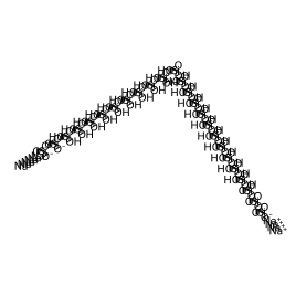 O=[Si](O)O.O=[Si](O)O.O=[Si](O)O.O=[Si](O)O.O=[Si](O)O.O=[Si](O)O.O=[Si](O)O.O=[Si](O)O.O=[Si](O)O.O=[Si](O)O.O=[Si](O)O.O=[Si](O)O.O=[Si](O)O.O=[Si](O)O.O=[Si](O)O.O=[Si](O)O.O=[Si](O)O.O=[Si](O)O.O=[Si](O)O.O=[Si](O)O.O=[Si]([O-])[O-].O=[Si]([O-])[O-].O=[Si]([O-])[O-].O=[Si]([O-])[O-].O=[Si]([O-])[O-].[Na+].[Na+].[Na+].[Na+].[Na+].[Na+].[Na+].[Na+].[Na+].[Na+]